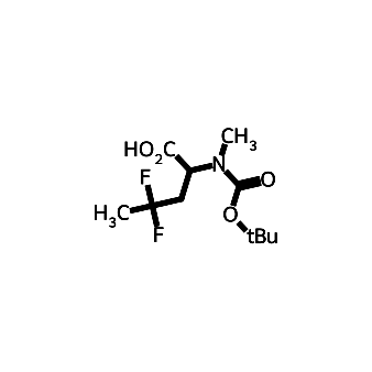 CN(C(=O)OC(C)(C)C)C(CC(C)(F)F)C(=O)O